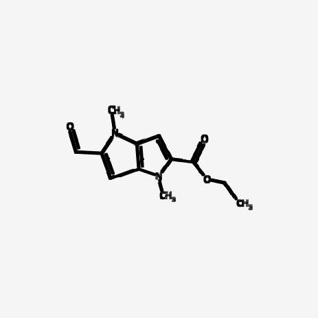 CCOC(=O)c1cc2c(cc(C=O)n2C)n1C